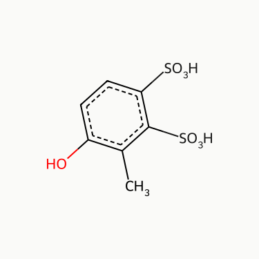 Cc1c(O)ccc(S(=O)(=O)O)c1S(=O)(=O)O